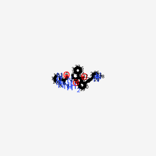 CC(NC(=O)c1c(N)nn2cccnc12)c1oc2cccc(C#Cc3ccn(C)n3)c2c(=O)c1-c1ccccc1